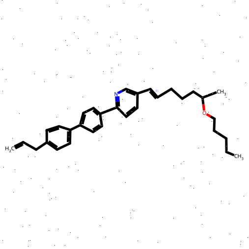 C=CCc1ccc(-c2ccc(-c3ccc(/C=C/CCCC(C)OCCCCC)cn3)cc2)cc1